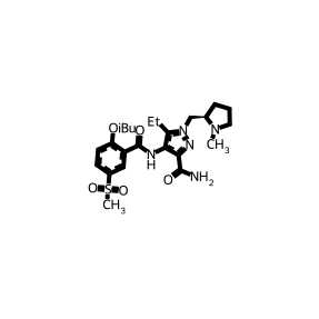 CCc1c(NC(=O)c2cc(S(C)(=O)=O)ccc2OCC(C)C)c(C(N)=O)nn1C[C@H]1CCCN1C